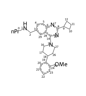 CCCNCc1ccc2nc(C3CCC3)nc(N3CCC(c4ccccc4OC)CC3)c2c1